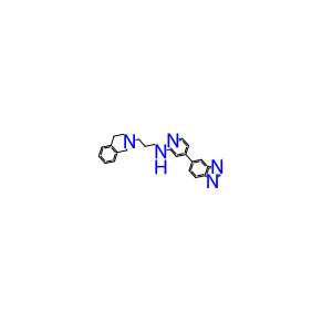 Cn1cnc2ccc(-c3ccnc(NCCCN4CCc5ccccc5C4)c3)cc21